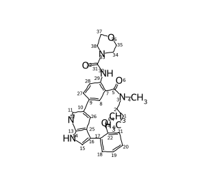 CCCN(C)C(=O)c1cc(-c2cnc3[nH]cc(-c4ccccc4OC)c3c2)ccc1NC(=O)N1CCOCC1